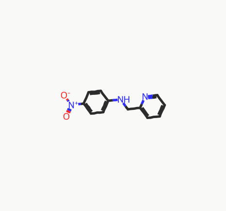 O=[N+]([O-])c1ccc(NCc2ccccn2)cc1